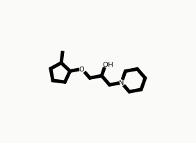 CC1CCCC1OCC(O)CN1CCCCC1